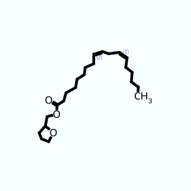 CCCCC/C=C\C/C=C\CCCCCCCC(=O)OCC1CCCO1